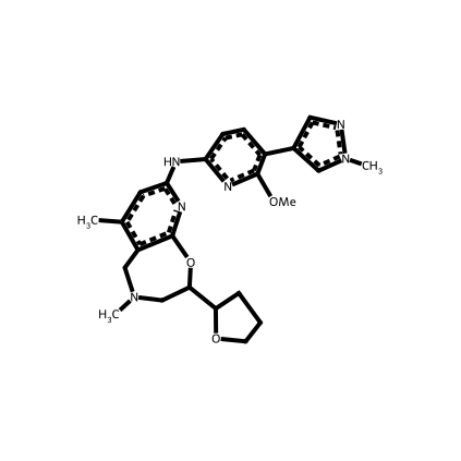 COc1nc(Nc2cc(C)c3c(n2)OC(C2CCCO2)CN(C)C3)ccc1-c1cnn(C)c1